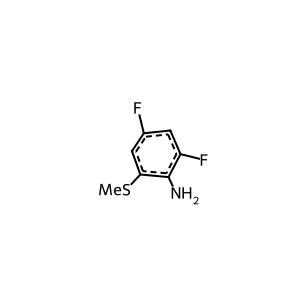 CSc1cc(F)cc(F)c1N